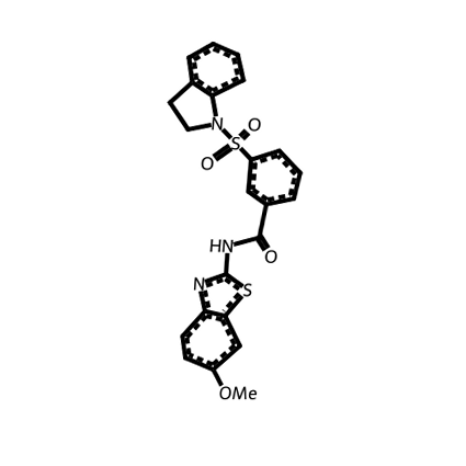 COc1ccc2nc(NC(=O)c3cccc(S(=O)(=O)N4CCc5ccccc54)c3)sc2c1